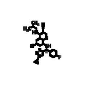 CC(C)CNc1c(C#N)cnc2c(N[C@@H](c3ccc(F)cc3)c3cn(C4CC4)nn3)cc(Cl)cc12